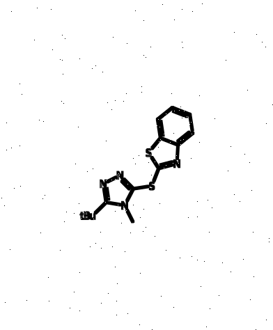 Cn1c(Sc2nc3ccccc3s2)nnc1C(C)(C)C